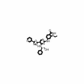 CCn1[nH]c(=O)c2ccc(Nc3ncc(-c4nnc(-c5cccnc5)o4)c(N[C@H](CO)c4ccccc4)n3)cc21